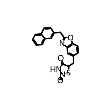 O=C1N[N+](=O)SC1Cc1ccc2oc(Cc3ccc4ccccc4c3)nc2c1